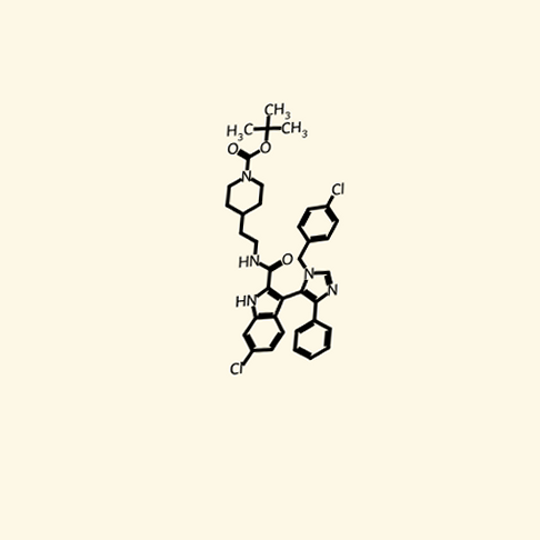 CC(C)(C)OC(=O)N1CCC(CCNC(=O)c2[nH]c3cc(Cl)ccc3c2-c2c(-c3ccccc3)ncn2Cc2ccc(Cl)cc2)CC1